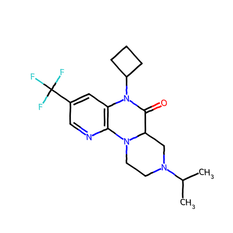 CC(C)N1CCN2c3ncc(C(F)(F)F)cc3N(C3CCC3)C(=O)C2C1